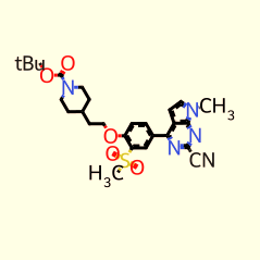 Cn1ccc2c(-c3ccc(OCCC4CCN(C(=O)OC(C)(C)C)CC4)c(S(C)(=O)=O)c3)nc(C#N)nc21